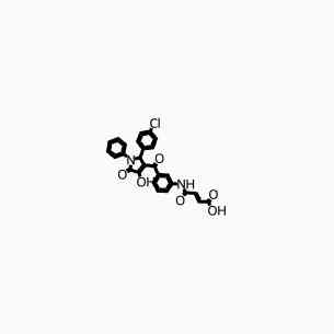 O=C(O)C=CC(=O)Nc1cccc(C(=O)C2=C(O)C(=O)N(c3ccccc3)C2c2ccc(Cl)cc2)c1